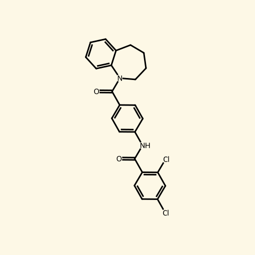 O=C(Nc1ccc(C(=O)N2CCCCc3ccccc32)cc1)c1ccc(Cl)cc1Cl